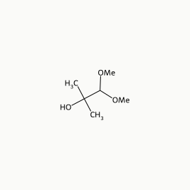 COC(OC)C(C)(C)O